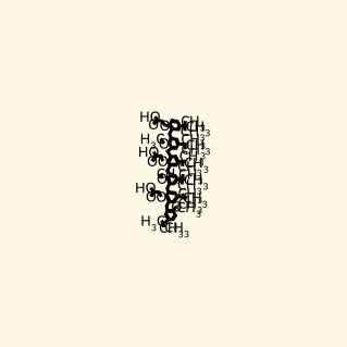 COc1ccc(C(C)(C)C)cc1Cc1cc(C(C)(C)C)cc(Cc2cc(C(C)(C)C)cc(Cc3cc(C(C)(C)C)cc(Cc4cc(C(C)(C)C)cc(Cc5cc(C(C)(C)C)ccc5OCC(=O)O)c4OC)c3OCC(=O)O)c2OC)c1OCC(=O)O